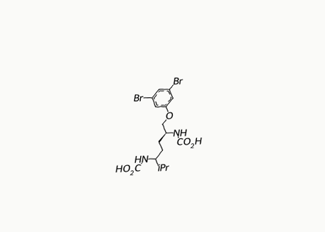 CC(C)C(CC[C@@H](COc1cc(Br)cc(Br)c1)NC(=O)O)NC(=O)O